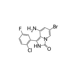 Nc1cc(Br)cn2c(=O)[nH]c(-c3cc(F)ccc3Cl)c12